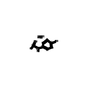 CC(=O)Nc1ccc(F)cc1.Cl